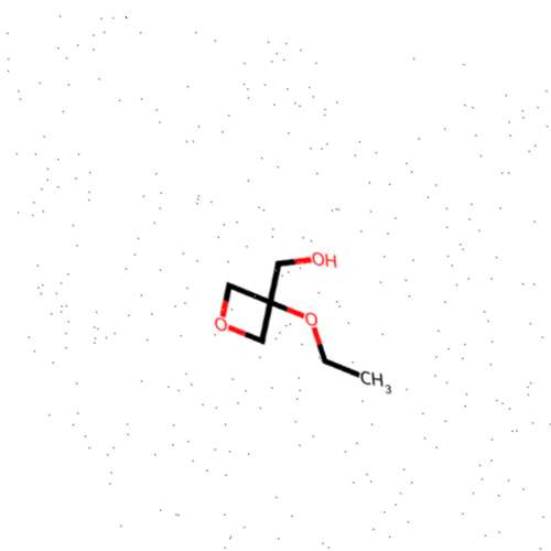 CCOC1(CO)COC1